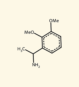 COc1cccc(C(C)N)c1OC